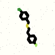 Fc1ccc(CCSCc2ccc(Cl)cc2)cc1